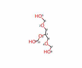 OCOCC(COCO)OCO